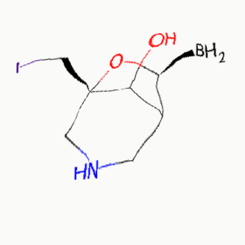 B[C@@H]1O[C@@]2(CI)CNCC1C2O